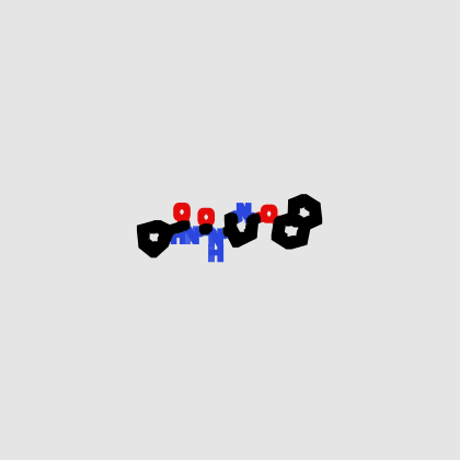 O=C(NC(=O)c1ccccc1)Nc1ccc(Oc2cccc3ccccc23)nc1